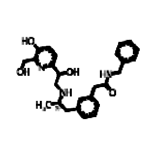 C[C@H](Cc1cccc(CC(=O)NCc2ccccc2)c1)NCC(O)c1ccc(O)c(CO)n1